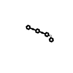 C(#Cc1ccc(C#Cc2ccc(Oc3ccccc3)cc2)cc1)c1ccccc1